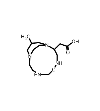 CC1CN2CCNCCNCC(CC(=O)O)N(CC2)C1